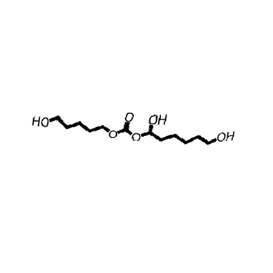 O=C(OCCCCCO)OC(O)CCCCCO